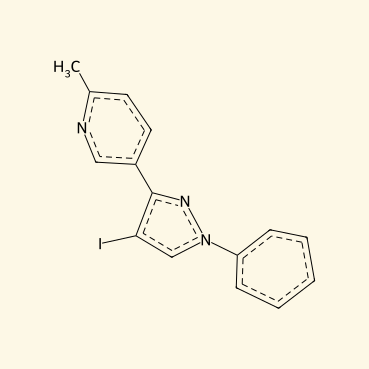 Cc1ccc(-c2nn(-c3ccccc3)cc2I)cn1